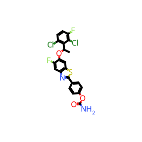 CC(Oc1cc2sc(-c3ccc(OC(N)=O)cc3)nc2cc1F)c1c(Cl)ccc(F)c1Cl